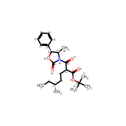 CC[C@@H](C)CCC(C(=O)OC(C)(C)C)C(=O)N1C(=O)O[C@@H](c2ccccc2)[C@H]1C